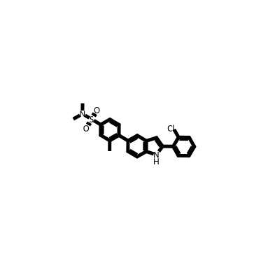 Cc1cc(S(=O)(=O)N(C)C)ccc1-c1ccc2[nH]c(-c3ccccc3Cl)cc2c1